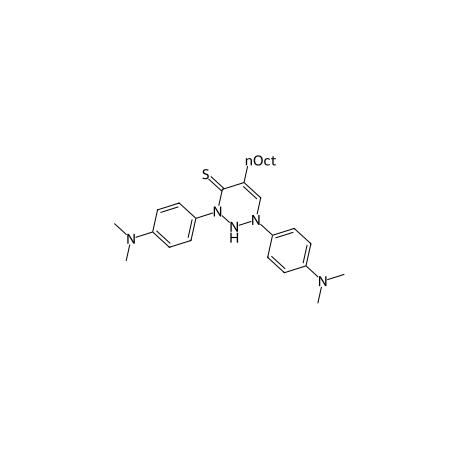 CCCCCCCCC1=CN(c2ccc(N(C)C)cc2)NN(c2ccc(N(C)C)cc2)C1=S